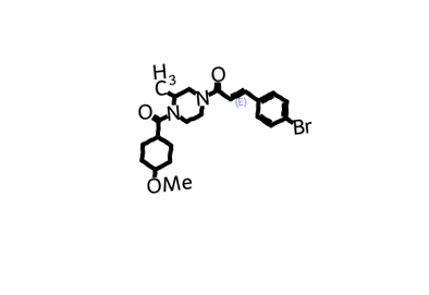 COC1CCC(C(=O)N2CCN(C(=O)/C=C/c3ccc(Br)cc3)CC2C)CC1